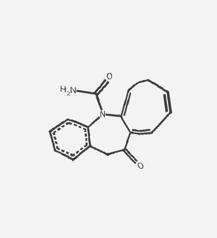 NC(=O)N1C2=CCC=CC=C2C(=O)Cc2ccccc21